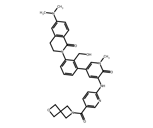 CN(C)c1ccc2c(c1)CCN(c1cccc(-c3cc(Nc4ccc(C(=O)N5CC6(COC6)C5)cn4)c(=O)n(C)c3)c1CO)C2=O